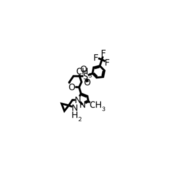 Cc1cc(C2CC(C)(S(=O)(=O)c3cccc(C(F)(F)F)c3)CCO2)n(CC2(N)CC2)n1